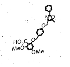 COc1cc(OC)c(C(=O)O)c(OCc2ccc(OCc3nc(-c4ccccc4)oc3C)cc2)c1